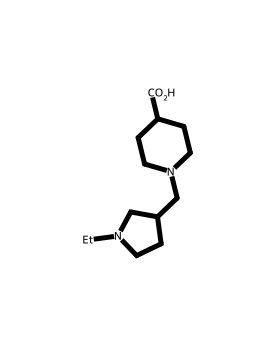 CCN1CCC(CN2CCC(C(=O)O)CC2)C1